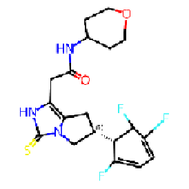 O=C(Cc1[nH]c(=S)n2c1C[C@H](C1C(F)=CC=C(F)C1F)C2)NC1CCOCC1